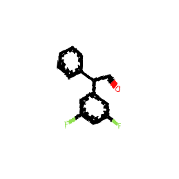 O=CC(c1ccccc1)c1cc(F)cc(F)c1